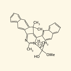 COC1(O)C2(C)c3cc4ccccc4cc3-c3c4c(nc(C)[n+]3C12C)-c1cc2ccccc2cc1C4(C)C